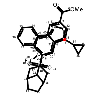 COC(=O)c1ccc2cc(S(=O)(=O)C3C4CCC3CC(OCc3c(-c5ccccc5OC(F)(F)F)noc3C3CC3)C4)ccc2c1